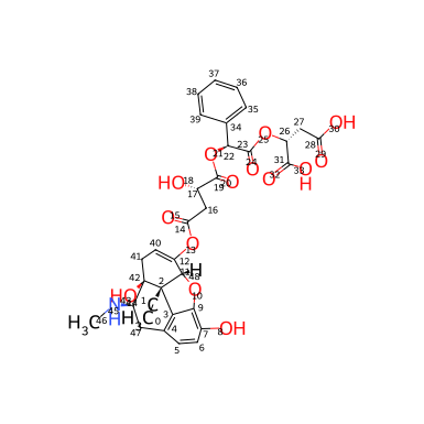 CC[C@]12c3c4ccc(O)c3O[C@H]1C(OC(=O)C[C@H](O)C(=O)O[C@H](C(=O)O[C@H](CC(=O)O)C(=O)O)c1ccccc1)=CC[C@@]2(O)[C@H](NC)C4